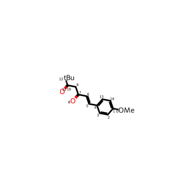 COc1ccc(/C=C/C(=O)CC(=O)C(C)(C)C)cc1